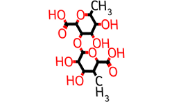 CC1OC(C(=O)O)C(OC2OC(C(=O)O)C(C)C(O)C2O)C(O)C1O